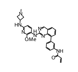 C=CC(=O)Nc1cccc(-c2cccc3cnc(Nc4ccc(NC5CN(C)C5)nc4OC)nc23)c1